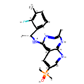 Cc1nc(N[C@H](C)c2cccc(C(F)(F)F)c2F)c2cc(P(C)(C)=O)cnc2n1